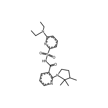 CCN(CC)c1cccc(S(=O)(=O)NC(=O)c2cccnc2N2CCC(C)C2(C)C)n1